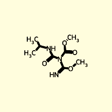 COC(=N)N(C(=O)NC(C)C)C(=O)OC